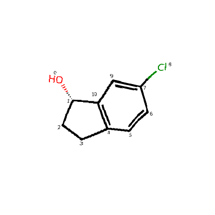 O[C@H]1CCc2ccc(Cl)cc21